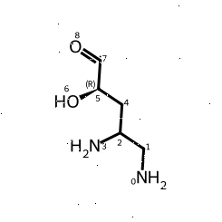 NCC(N)C[C@@H](O)[C]=O